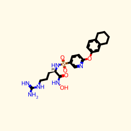 N=C(N)NCCC[C@@H](NS(=O)(=O)c1ccc(Oc2ccc3c(c2)CCCC3)nc1)C(=O)NO